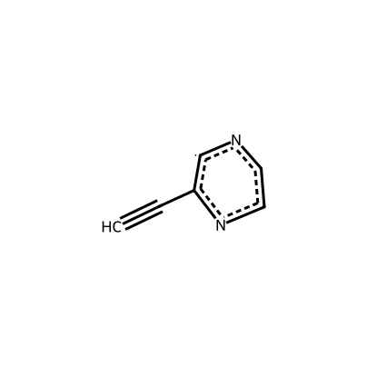 C#Cc1[c]nccn1